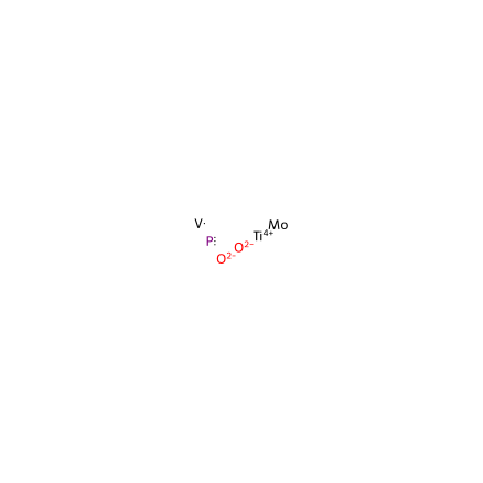 [Mo].[O-2].[O-2].[P].[Ti+4].[V]